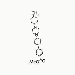 COC(=O)c1ccc(-c2ccc(N3CCN(C4CCC(C)CC4)CC3)cc2)cc1